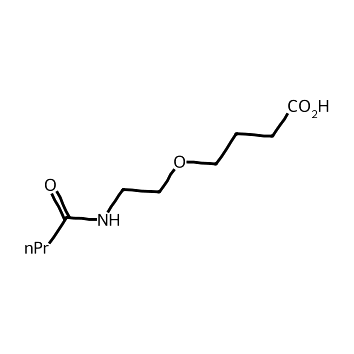 CCCC(=O)NCCOCCCC(=O)O